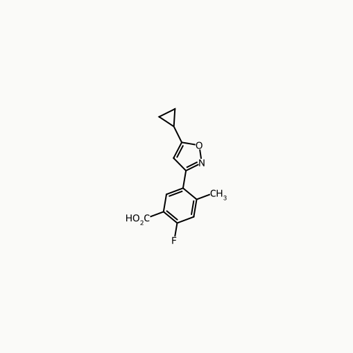 Cc1cc(F)c(C(=O)O)cc1-c1cc(C2CC2)on1